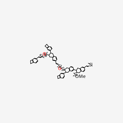 CO[Si](C)(C)C1Cc2ccc(/C=C/[Si](C)(C)C)cc2CC1c1ccc2c(c1)CC(c1ccc3c(c1)CC3)C([Si](C)(C)O[Si](C)(C)/C=C/c1ccc3c(c1)CC([Si](C)(C)O[Si](C)(C)/C=C/c1ccc4c(c1)CC4)C(c1ccc4c(c1)CC4)C3)C2